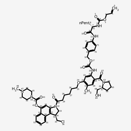 C=CCOC(=O)N[C@@H](CCCCC)C(=O)Nc1ccc(COC(=O)Nc2cc(OCCCCCC(=O)N3C[C@@H](CCl)c4c3cc(OC(=O)N3CCN(C)CC3)c3ccccc43)c(C)cc2C(=O)N2CCC[C@H]2CO)cc1